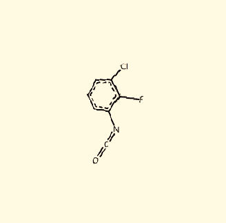 O=C=Nc1cccc(Cl)c1F